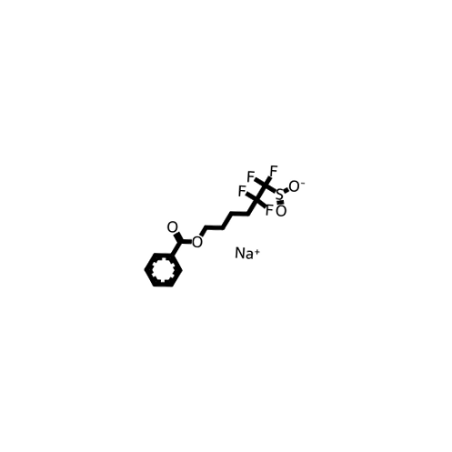 O=C(OCCCCC(F)(F)C(F)(F)S(=O)[O-])c1ccccc1.[Na+]